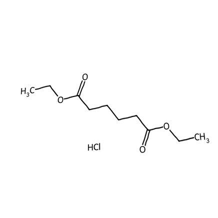 CCOC(=O)CCCCC(=O)OCC.Cl